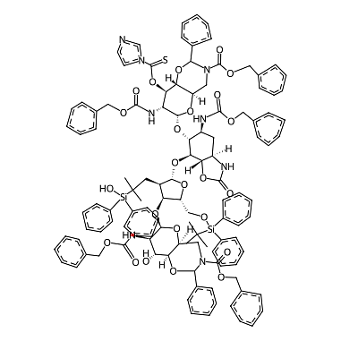 CC(C)(C[C@H]1[C@H](O[C@@H]2[C@H]3OC(=O)N[C@@H]3C[C@H](NC(=O)OCc3ccccc3)[C@H]2O[C@H]2O[C@@H]3CN(C(=O)OCc4ccccc4)C(c4ccccc4)O[C@H]3[C@H](OC(=S)n3ccnc3)[C@H]2NC(=O)OCc2ccccc2)O[C@H](CO[Si](c2ccccc2)(c2ccccc2)C(C)(C)C)[C@H]1O[C@H]1O[C@H]2CN(C(=O)OCc3ccccc3)C(c3ccccc3)O[C@H]2[C@H](O)[C@H]1NC(=O)OCc1ccccc1)[Si](O)(c1ccccc1)c1ccccc1